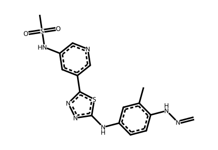 C=NNc1ccc(Nc2nnc(-c3cncc(NS(C)(=O)=O)c3)s2)cc1C